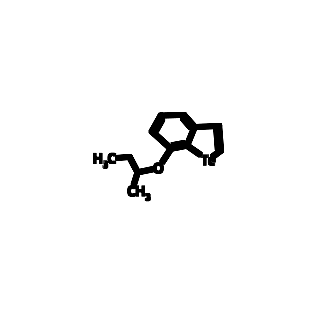 CCC(C)Oc1cccc2cc[te]c12